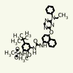 CCN(c1ccccc1)c1ncnc(Oc2ccc(NC(=O)Nc3cc(C(C)(C)C)cc(NS(C)(=O)=O)c3OC)c3ccccc23)n1